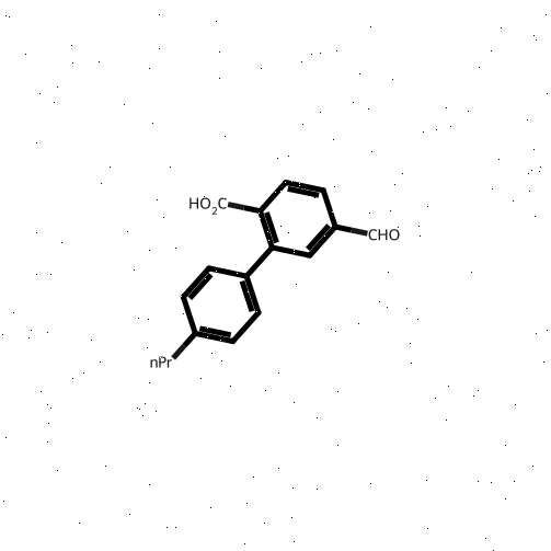 CCCc1ccc(-c2cc(C=O)ccc2C(=O)O)cc1